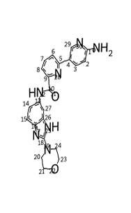 Nc1ccc(-c2cccc(C(=O)Nc3ccc4nc(N5CCOCC5)[nH]c4c3)n2)cn1